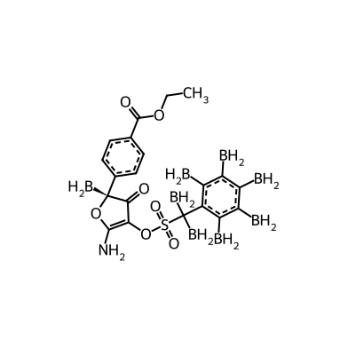 Bc1c(B)c(B)c(C(B)(B)S(=O)(=O)OC2=C(N)O[C@](B)(c3ccc(C(=O)OCC)cc3)C2=O)c(B)c1B